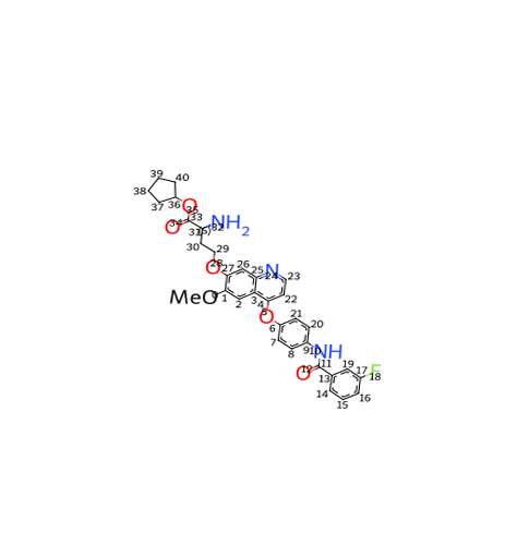 COc1cc2c(Oc3ccc(NC(=O)c4cccc(F)c4)cc3)ccnc2cc1OCC[C@H](N)C(=O)OC1CCCC1